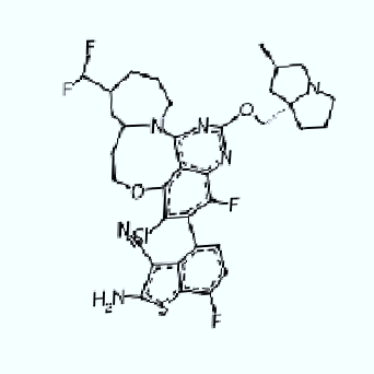 C[C@H]1CN2CCC[C@@]2(COc2nc3c4c(c(Cl)c(-c5ccc(F)c6sc(N)c(C#N)c56)c(F)c4n2)OCCC2CC(C(F)F)CCCN32)C1